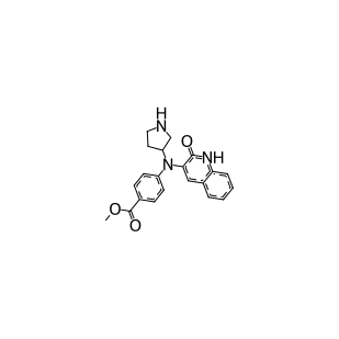 COC(=O)c1ccc(N(c2cc3ccccc3[nH]c2=O)C2CCNC2)cc1